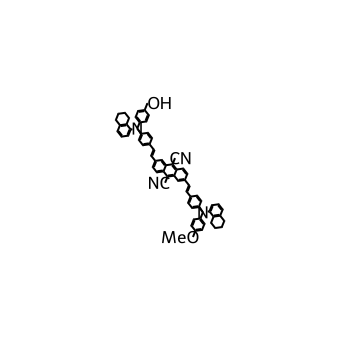 COc1ccc(N(c2ccc(C=Cc3ccc4c(C#N)c5cc(C=Cc6ccc(N(c7ccc(CO)cc7)c7cccc8c7CCCC8)cc6)ccc5c(C#N)c4c3)cc2)c2cccc3c2CCCC3)cc1